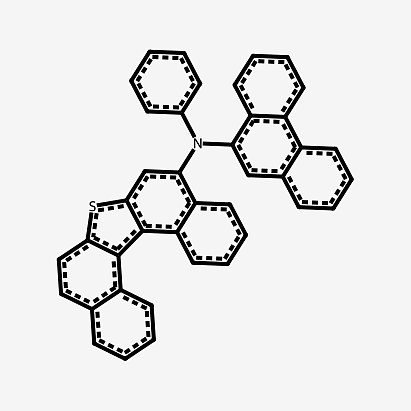 c1ccc(N(c2cc3ccccc3c3ccccc23)c2cc3sc4ccc5ccccc5c4c3c3ccccc23)cc1